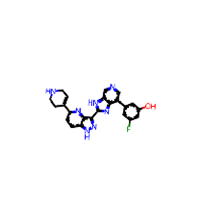 Oc1cc(F)cc(-c2cncc3[nH]c(-c4n[nH]c5ccc(C6=CCNCC6)nc45)nc23)c1